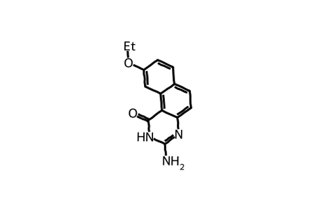 CCOc1ccc2ccc3nc(N)[nH]c(=O)c3c2c1